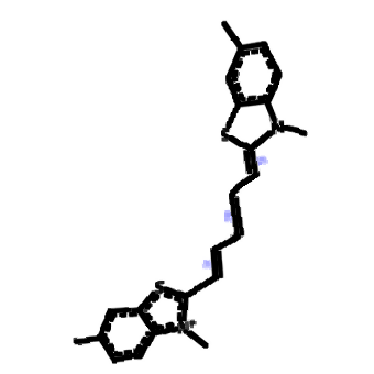 Cc1ccc2c(c1)S\C(=C/C=C/C=C/c1sc3cc(C)ccc3[n+]1C)N2C